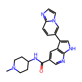 CN1CCC(NC(=O)c2cnc3[nH]cc(-c4ccc5nccn5c4)c3c2)CC1